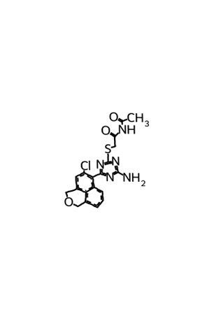 CC(=O)NC(=O)CSc1nc(N)nc(-c2c(Cl)cc3c4c(cccc24)COC3)n1